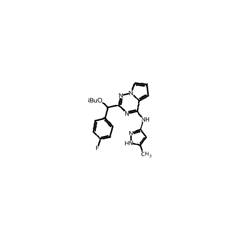 Cc1cc(Nc2nc(C(OCC(C)C)c3ccc(F)cc3)nn3cccc23)n[nH]1